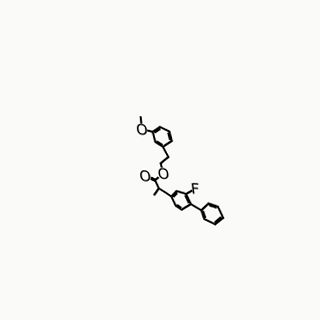 COc1cccc(CCOC(=O)C(C)c2ccc(-c3ccccc3)c(F)c2)c1